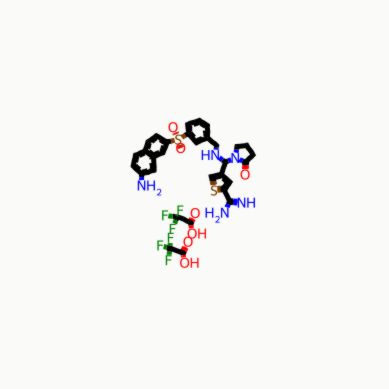 N=C(N)c1cc(C(NCc2cccc(S(=O)(=O)c3ccc4ccc(N)cc4c3)c2)N2CCCC2=O)cs1.O=C(O)C(F)(F)F.O=C(O)C(F)(F)F